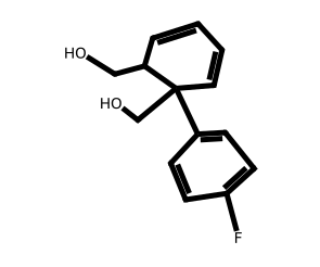 OCC1C=CC=CC1(CO)c1ccc(F)cc1